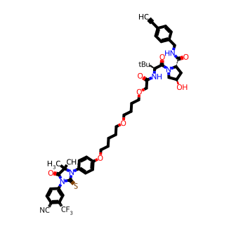 C#Cc1ccc(CNC(=O)[C@@H]2C[C@@H](O)CN2C(=O)[C@@H](NC(=O)COCCCCOCCCCCOc2ccc(N3C(=S)N(c4ccc(C#N)c(C(F)(F)F)c4)C(=O)C3(C)C)cc2)C(C)(C)C)cc1